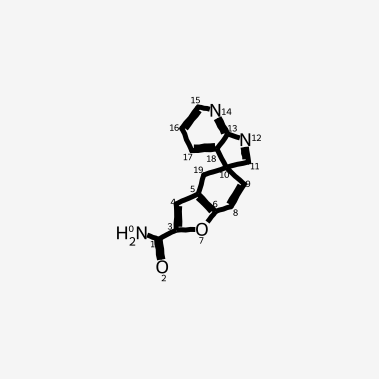 NC(=O)c1cc2c(o1)C=CC1(C=Nc3ncccc31)C2